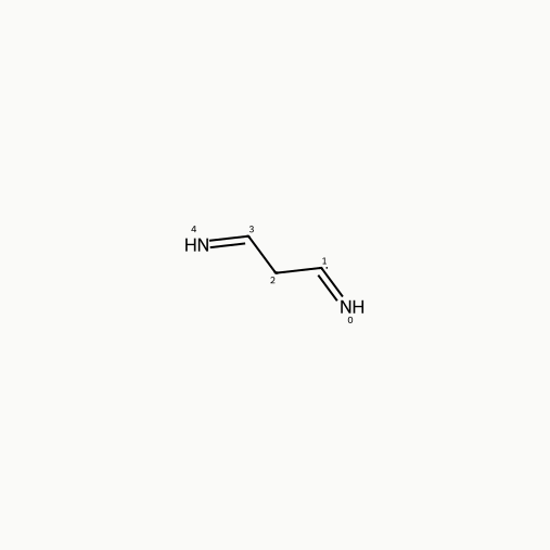 N=[C]CC=N